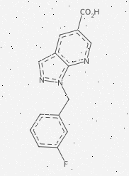 O=C(O)c1cnc2c(cnn2Cc2cccc(F)c2)c1